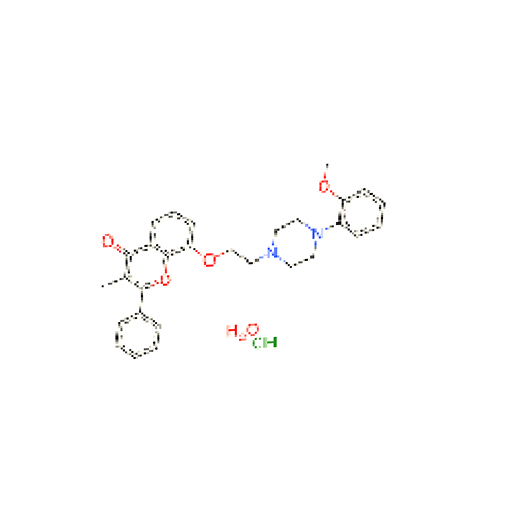 COc1ccccc1N1CCN(CCOc2cccc3c(=O)c(C)c(-c4ccccc4)oc23)CC1.Cl.O